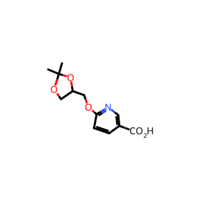 CC1(C)OCC(COc2ccc(C(=O)O)cn2)O1